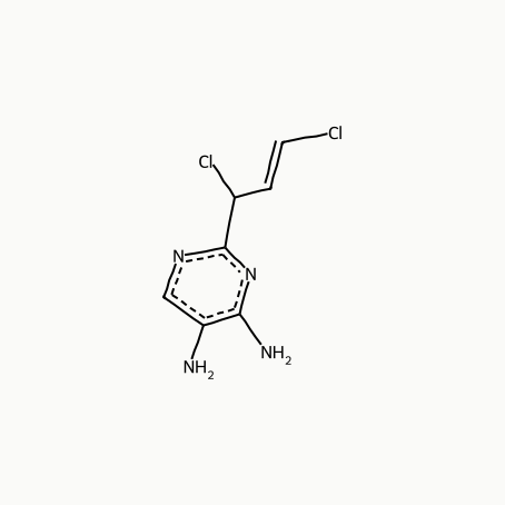 Nc1cnc(C(Cl)C=CCl)nc1N